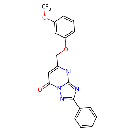 O=c1cc(COc2cccc(OC(F)(F)F)c2)[nH]c2nc(-c3ccccc3)nn12